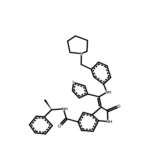 C[C@@H](NC(=O)c1ccc2c(c1)/C(=C(/Nc1cccc(CN3CCCCC3)c1)c1ccsc1)C(=O)N2)c1ccccc1